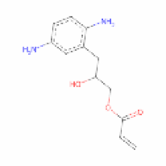 C=CC(=O)OCC(O)Cc1cc(N)ccc1N